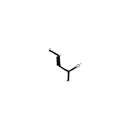 CC=CC(C)[O]